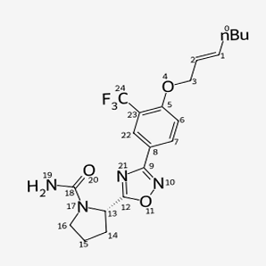 CCCC/C=C/COc1ccc(-c2noc([C@@H]3CCCN3C(N)=O)n2)cc1C(F)(F)F